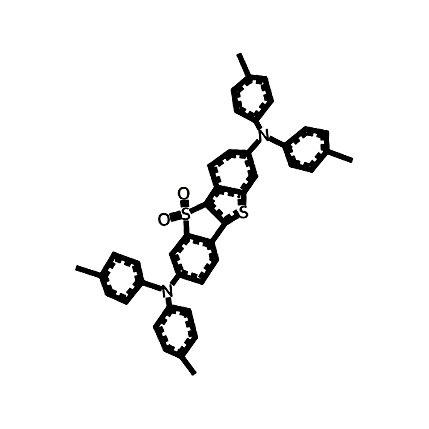 Cc1ccc(N(c2ccc(C)cc2)c2ccc3c(c2)S(=O)(=O)c2c-3sc3cc(N(c4ccc(C)cc4)c4ccc(C)cc4)ccc23)cc1